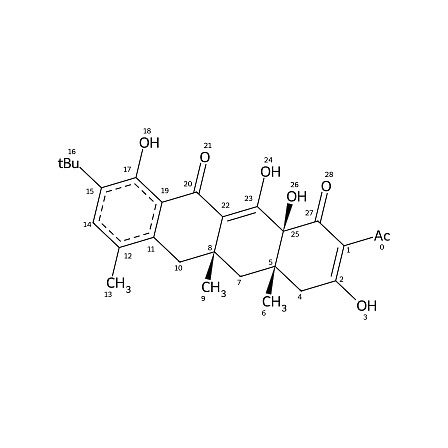 CC(=O)C1=C(O)C[C@]2(C)C[C@]3(C)Cc4c(C)cc(C(C)(C)C)c(O)c4C(=O)C3=C(O)[C@]2(O)C1=O